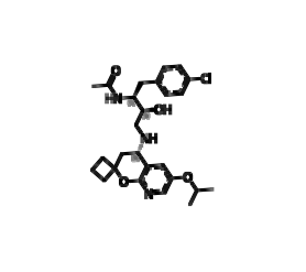 CC(=O)N[C@@H](Cc1ccc(Cl)cc1)[C@@H](O)CN[C@H]1CC2(CCC2)Oc2ncc(OC(C)C)cc21